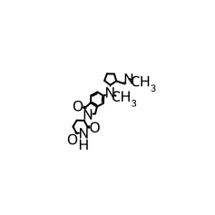 CN=CC1CCC[C@H]1N(C)c1ccc2c(c1)CN(C1CCC(=O)NC1=O)C2=O